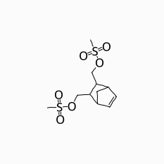 CS(=O)(=O)OCC1C2C=CC(C2)C1COS(C)(=O)=O